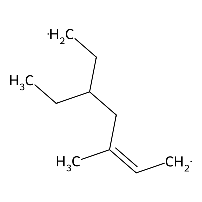 [CH2]C=C(C)CC(C[CH2])CC